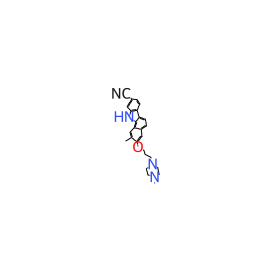 Cc1cc2c(ccc3c4ccc(C#N)cc4[nH]c23)cc1OCCCN1CCN(C)CC1